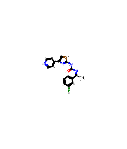 C[C@H](NC(=O)Nc1nc(-c2ccncc2)cs1)c1cccc(F)c1